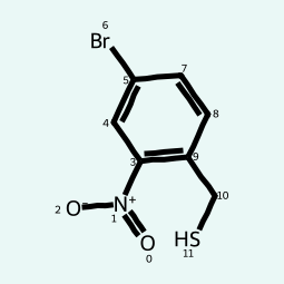 O=[N+]([O-])c1cc(Br)ccc1CS